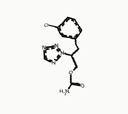 NC(=O)OCC(Cc1cccc(Cl)c1)n1ncnn1